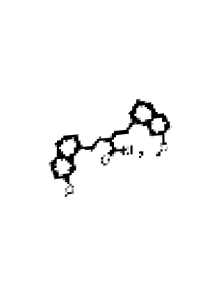 COc1ccc2cccc(CCC(CCc3cccc4ccc(OC)cc34)C(N)=O)c2c1